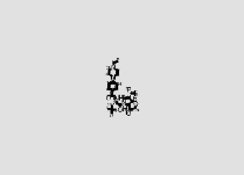 CCN1CCN(c2ccc(C(=O)N[C@@H](CC(C)(C)C)C(=O)N3C[C@@H](C(F)F)[C@H]4OCC(=O)[C@H]43)cc2)CC1